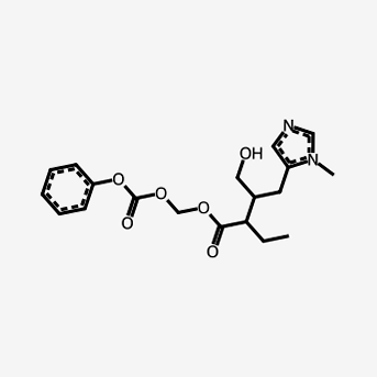 CCC(C(=O)OCOC(=O)Oc1ccccc1)C(CO)Cc1cncn1C